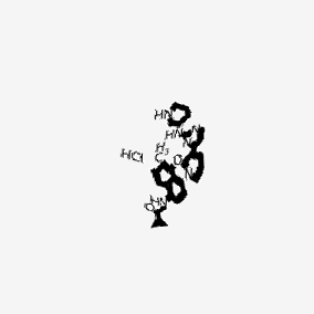 Cc1ccc2c(NCC(=O)C3CC3)cccc2c1Oc1ncccc1-c1ccnc(N[C@H]2CCCNC2)n1.Cl